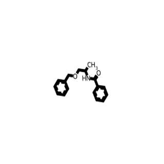 CC(COCc1ccccc1)NC(=O)c1ccccc1